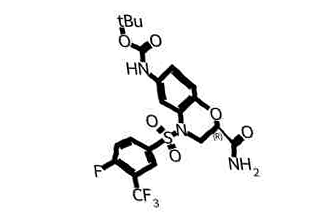 CC(C)(C)OC(=O)Nc1ccc2c(c1)N(S(=O)(=O)c1ccc(F)c(C(F)(F)F)c1)C[C@H](C(N)=O)O2